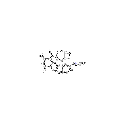 CC1OC(=O)c2cc3oc4ccc(/C=C/C(=O)O)cc4c3cc2N1C(=O)C1CCC2CCC2CC1